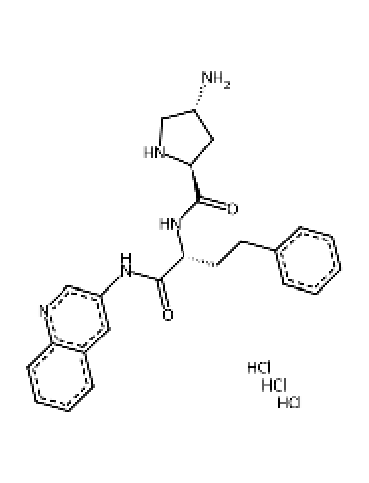 Cl.Cl.Cl.N[C@H]1CN[C@H](C(=O)N[C@H](CCc2ccccc2)C(=O)Nc2cnc3ccccc3c2)C1